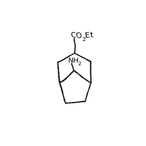 CCOC(=O)C1CC2CCC(C1)C2N